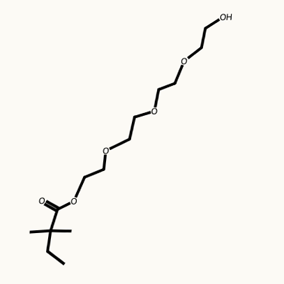 CCC(C)(C)C(=O)OCCOCCOCCOCCO